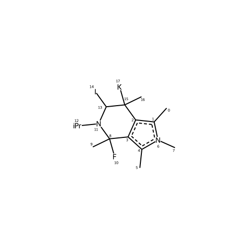 Cc1c2c(c(C)n1C)C(C)(F)N(C(C)C)C(I)[C]2(C)[K]